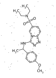 CCN(CC)S(=O)(=O)c1ccc2nnc(NC(C)c3ccc(OC)cc3)n2c1